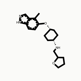 Cc1c(O[C@H]2CC[C@@H](NCC3CCCO3)CC2)ccc2[nH]ncc12